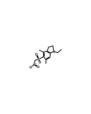 CCN1CCc2c1cc(C)c(S(=O)(=O)C[N+](=O)[O-])c2C